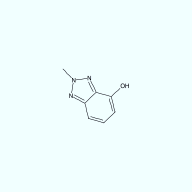 Cn1nc2cccc(O)c2n1